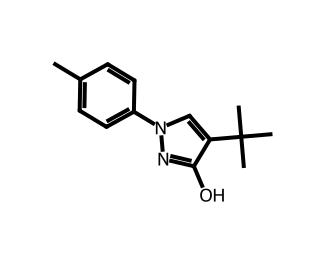 Cc1ccc(-n2cc(C(C)(C)C)c(O)n2)cc1